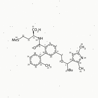 CCCCC(OCc1ccc(C(=O)N[C@@H](CCSC)C(=O)O)c(-c2ccccc2C)c1)c1sc(C)nc1C